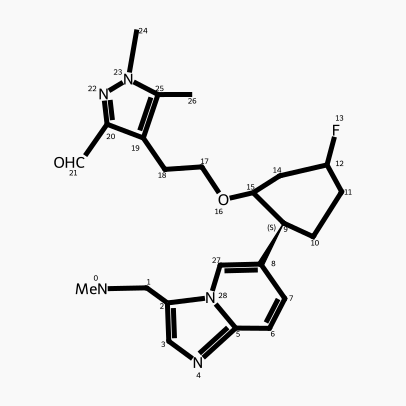 CNCc1cnc2ccc([C@@H]3CCC(F)CC3OCCc3c(C=O)nn(C)c3C)cn12